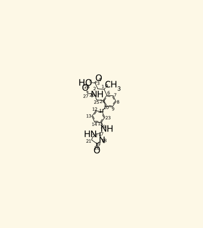 CC(CC(=O)O)c1cccc(-c2cccc(NC3=NC(=O)CN3)c2)c1CNC=O